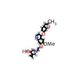 COc1cc2c(Oc3ccc4cc(C)oc4c3)ccnc2cc1OCCN1CC(O)C2(CC2)C1